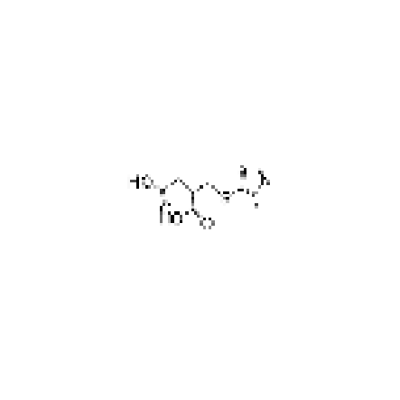 Cc1ncsc1SCC(CC(=O)O)C(=O)O